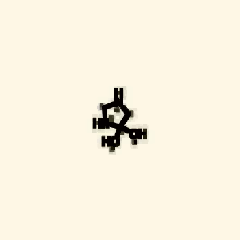 OC1(O)CNCN1